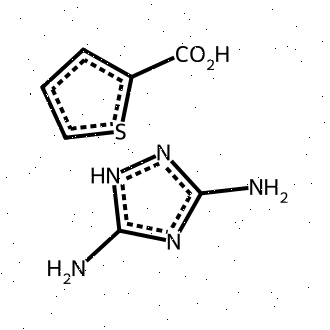 Nc1n[nH]c(N)n1.O=C(O)c1cccs1